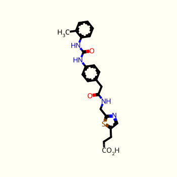 Cc1ccccc1NC(=O)Nc1ccc(CC(=O)NCc2ncc(CCC(=O)O)s2)cc1